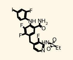 CCS(=O)(=O)Nc1nccc(Cc2cc(C(N)=O)c(Nc3ccc(I)cc3F)c(F)c2F)c1F